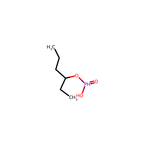 CCCC(CC)O[PH](=O)O